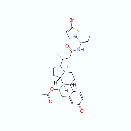 CC[C@@H](NC(=O)C[C@@H](C)[C@H]1CC[C@H]2[C@@H]3[C@H](OC(C)=O)CC4=CC(=O)C=C[C@]4(C)[C@H]3CC[C@]12C)c1ccc(Br)s1